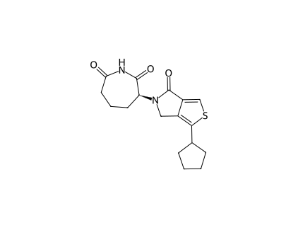 O=C1CCC[C@H](N2Cc3c(csc3C3CCCC3)C2=O)C(=O)N1